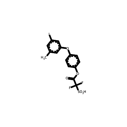 Cc1cc(I)cc(Oc2ccc(OC(=O)C(F)(F)S(=O)(=O)O)cc2)c1